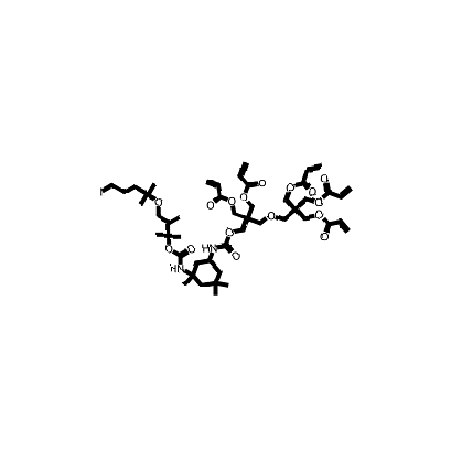 C=CC(=O)OCC(COCC(COC(=O)C=C)(COC(=O)C=C)COC(=O)NC1CC(C)(C)CC(C)(NC(=O)OC(C)(C)C(C)COC(C)(C)CCCI)C1)(COC(=O)C=C)COC(=O)C=C